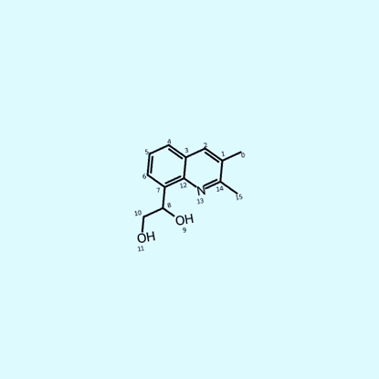 Cc1cc2cccc(C(O)CO)c2nc1C